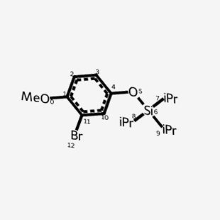 COc1ccc(O[Si](C(C)C)(C(C)C)C(C)C)cc1Br